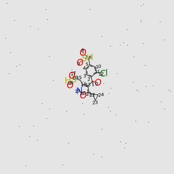 O=C(c1ccc(C[SH](=O)=O)cc1Cl)c1c(C[SH](=O)=O)noc1C1CC1